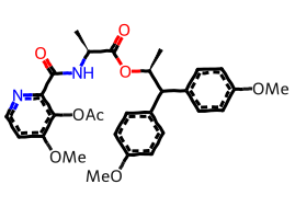 COc1ccc(C(c2ccc(OC)cc2)[C@H](C)OC(=O)[C@H](C)NC(=O)c2nccc(OC)c2OC(C)=O)cc1